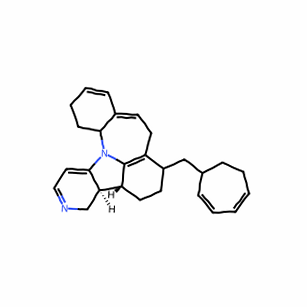 C1=CCCC(CC2CC[C@H]3C4=C2CC=C2C=CCCC2N4C2=CC=NC[C@@H]23)C=C1